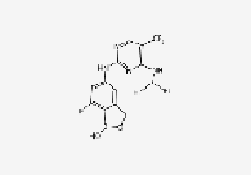 CCC(CC)Nc1nc(Nc2cc(F)c3c(c2)COB3O)ncc1C(F)(F)F